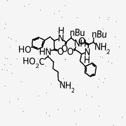 CCCCC(N)C(=O)NC(Cc1ccccc1)C(=O)NC(CCCC)C(=O)NC(Cc1ccc(O)cc1)C(=O)NC(CCCCN)C(=O)O